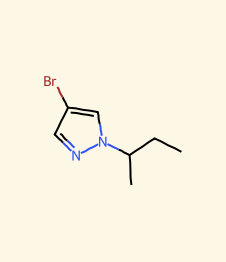 CCC(C)n1cc(Br)cn1